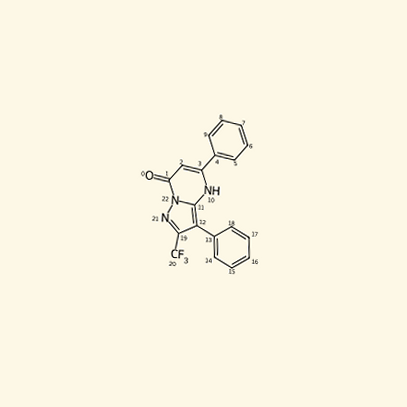 O=c1cc(-c2ccccc2)[nH]c2c(-c3ccccc3)c(C(F)(F)F)nn12